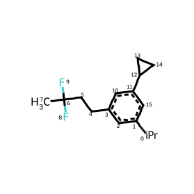 CC(C)c1cc(CCC(C)(F)F)cc(C2CC2)c1